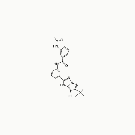 CC(=O)Nc1cccc(C(=O)Nc2cccc(-c3nn4nc(C(C)(C)C)c(Cl)c4[nH]3)c2)c1